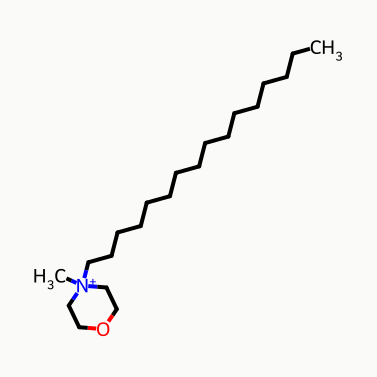 CCCCCCCCCCCCCCCC[N+]1(C)CCOCC1